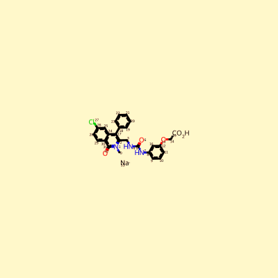 Cn1c(CNC(=O)Nc2cccc(OCC(=O)O)c2)c(-c2ccccc2)c2cc(Cl)ccc2c1=O.[Na]